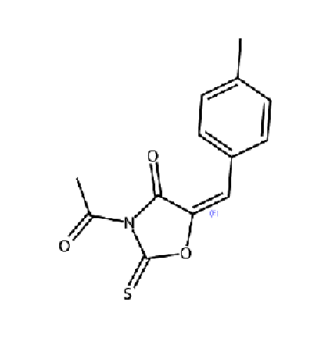 CC(=O)N1C(=O)/C(=C\c2ccc(C)cc2)OC1=S